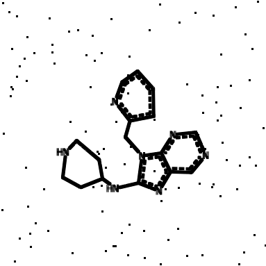 c1ccc(Cn2c(NC3CCNCC3)nc3cncnc32)nc1